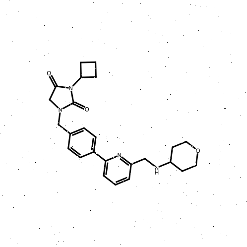 O=C1CN(Cc2ccc(-c3cccc(CNC4CCOCC4)n3)cc2)C(=O)N1C1CCC1